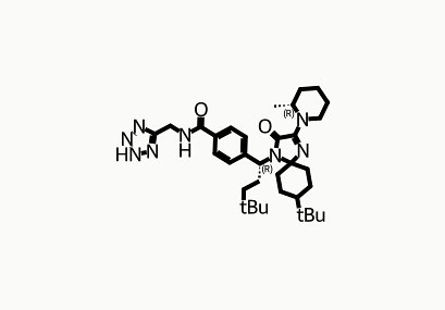 C[C@@H]1CCCCN1C1=NC2(CCC(C(C)(C)C)CC2)N([C@H](CCC(C)(C)C)c2ccc(C(=O)NCc3nn[nH]n3)cc2)C1=O